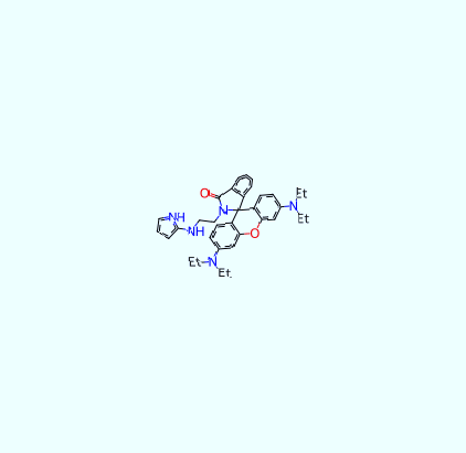 CCN(CC)c1ccc2c(c1)Oc1cc(N(CC)CC)ccc1C21c2ccccc2C(=O)N1CCNc1ccc[nH]1